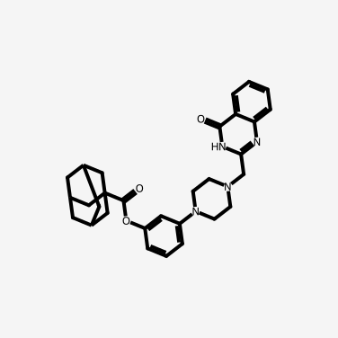 O=C(Oc1cccc(N2CCN(Cc3nc4ccccc4c(=O)[nH]3)CC2)c1)C12CC3CC(CC(C3)C1)C2